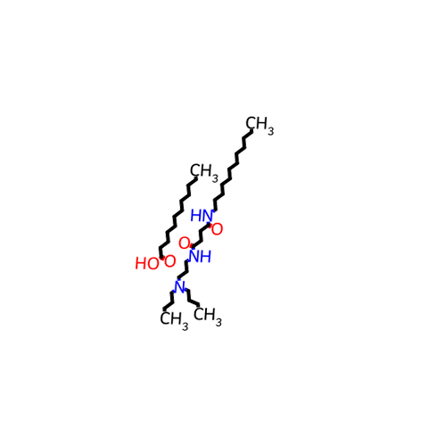 CCCCCCCCCCCC(=O)O.CCCCCCCCCCCCNC(=O)CCC(=O)NCCCN(CCCC)CCCC